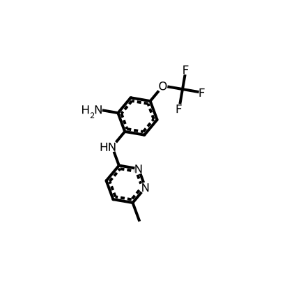 Cc1ccc(Nc2ccc(OC(F)(F)F)cc2N)nn1